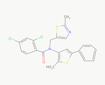 Cc1ncc(CN(C(=O)c2ccc(Cl)cc2Cl)c2cc(-c3ccccc3)sc2C(=O)O)s1